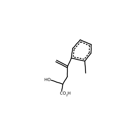 C=C(CC(O)C(=O)O)c1ccccc1C